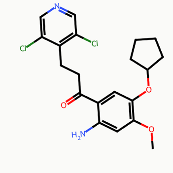 COc1cc(N)c(C(=O)CCc2c(Cl)cncc2Cl)cc1OC1CCCC1